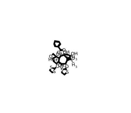 CC(=O)O[C@@]12CO[C@@H]1C[C@H](OC1SCCS1)[C@@]1(C)C(=O)[C@H](OC3SCCS3)C3=C(C)[C@@H](O)C[C@@](O)([C@@H](OC(=O)c4ccccc4)[C@H]21)C3(C)C